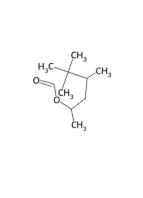 CC(CC(C)C(C)(C)C)OC=O